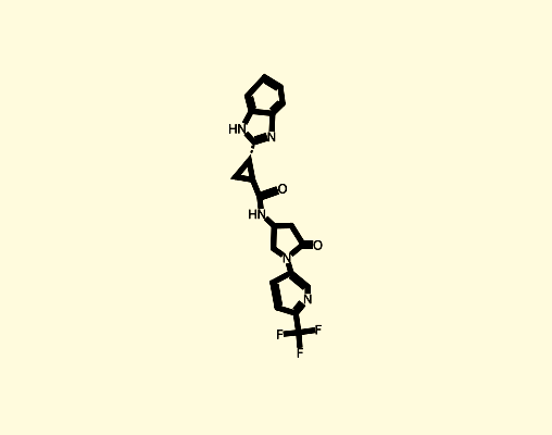 O=C(NC1CC(=O)N(c2ccc(C(F)(F)F)nc2)C1)C1C[C@@H]1c1nc2ccccc2[nH]1